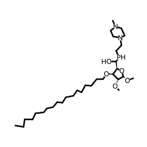 CCCCCCCCCCCCCCCCCCO[C@@H]1[C@@H](OC)[C@@H](OC)O[C@@H]1C(O)PCCN1CCN(C)CC1